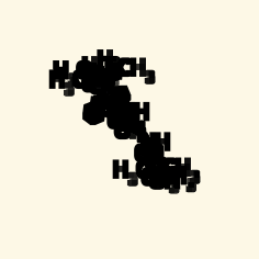 CC(C)C[C@@H](/C=C/[C@H](Cc1ccccc1)C(O)N1CCC[C@H]1C(=O)N[C@H](CCCCNC(=O)OC1CC(C)(C)N(O)C(C)(C)C1)C(=O)O)NC(=O)OC(C)(C)C